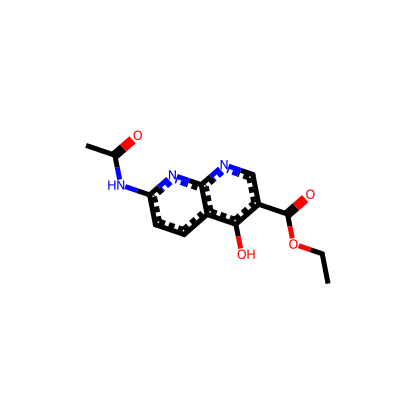 CCOC(=O)c1cnc2nc(NC(C)=O)ccc2c1O